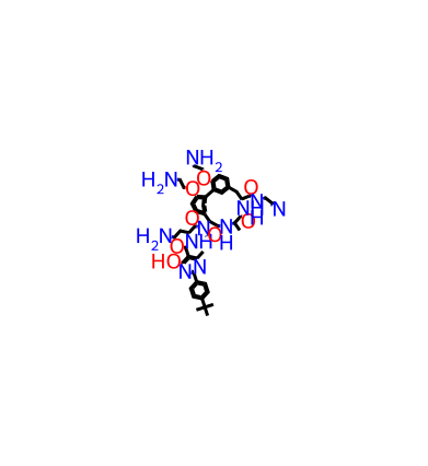 Cc1nc(-c2ccc(C(C)(C)C)cc2)nc(O)c1C(=O)NC(CCN)C(=O)N(C)C1C(=O)NC(C)C(=O)NC(C(=O)NCC#N)Cc2ccc(OCCN)c(c2)-c2cc1ccc2OCCN